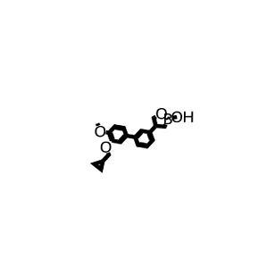 COc1ccc(-c2cccc(C3COB(O)C3)c2)cc1OCC1CC1